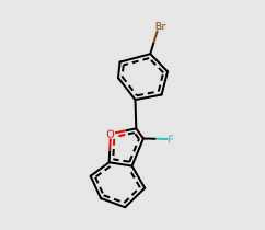 Fc1c(-c2ccc(Br)cc2)oc2ccccc12